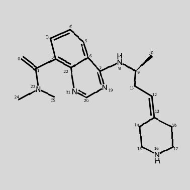 C=C(c1cccc2c(N[C@@H](C)CC=C3CCNCC3)ncnc12)N(C)C